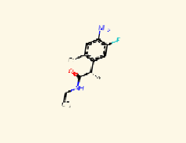 CCc1cc(N)c(F)cc1[C@H](C)C(=O)NCC(F)(F)F